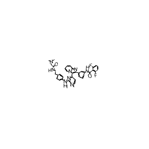 CN(C)CC(=O)NCCc1ccc(Nc2nccc(-c3c(-c4cccc(NC(=O)c5c(F)cccc5F)c4)nc4ccccn34)n2)cc1